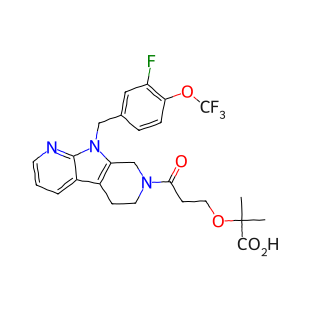 CC(C)(OCCC(=O)N1CCc2c(n(Cc3ccc(OC(F)(F)F)c(F)c3)c3ncccc23)C1)C(=O)O